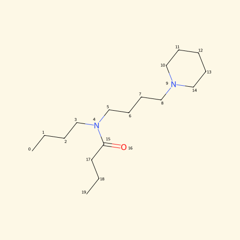 CCCCN(CCCCN1CCCCC1)C(=O)CCC